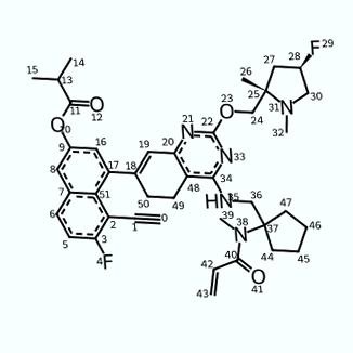 C#Cc1c(F)ccc2cc(OC(=O)C(C)C)cc(C3=Cc4nc(OC[C@]5(C)C[C@@H](F)CN5C)nc(NCC5(N(C)C(=O)C=C)CCCC5)c4CC3)c12